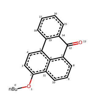 CCCCOc1ccc2c3c(cccc13)C(=O)c1ccccc1-2